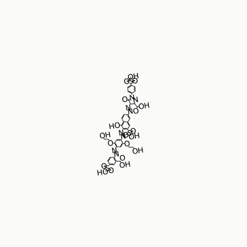 O=C(O)C1=NN(c2ccc(S(=O)(=O)O)cc2)C(=O)C1/N=N/c1ccc2c(O)c(/N=N/c3cc(OCCO)c(/N=N/c4ccc(S(=O)(=O)O)cc4C(=O)O)cc3OCCO)c(S(=O)(=O)O)cc2c1